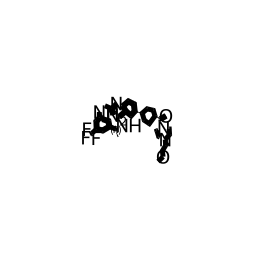 COCCN1CCN(C(=O)[C@H]2CC[C@@H](c3ccc4nc(C)nc(N[C@H](C)c5cc(N)cc(C(F)(F)F)c5)c4c3)CC2)CC1